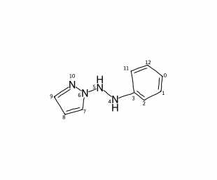 c1ccc(NNn2cccn2)cc1